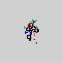 CCOc1cc([C@@](Cc2ccccc2)(NC(=O)c2cccc(C(F)(F)F)c2)c2cc(F)cc(OC(F)(F)C(F)F)c2)ccc1F